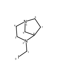 ICN1CCN2CCC1C2